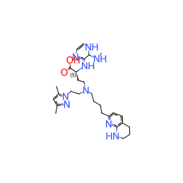 CNC1NC=CN=C1N[C@@H](CCN(CCCCc1ccc2c(n1)NCCC2)CCn1nc(C)cc1C)C(=O)O